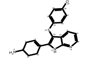 NC1CC=C(c2[nH]c3ncccc3c2Sc2ccc(Cl)cc2)CC1